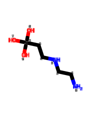 NCCNCC[Si](O)(O)O